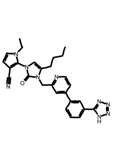 CCCCc1cn(-c2c(C#N)ccn2CC)c(=O)n1Cc1cc(-c2cccc(-c3nnn[nH]3)c2)ccn1